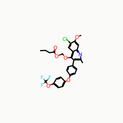 CCCC(=O)OCOc1c(-c2ccc(Oc3ccc(OC(F)(F)F)cc3)cc2)c(C)nc2cc(OC)c(Cl)cc12